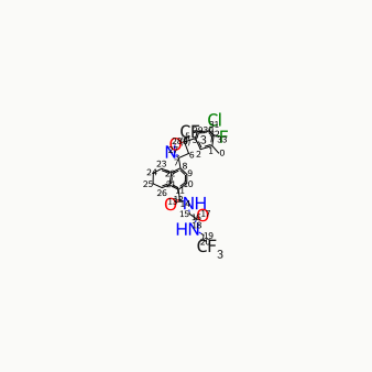 Cc1cc([C@]2(C(F)(F)F)CC(c3ccc(C(=O)NCC(=O)NCC(F)(F)F)c4c3=CCCC=4)=NO2)cc(Cl)c1F